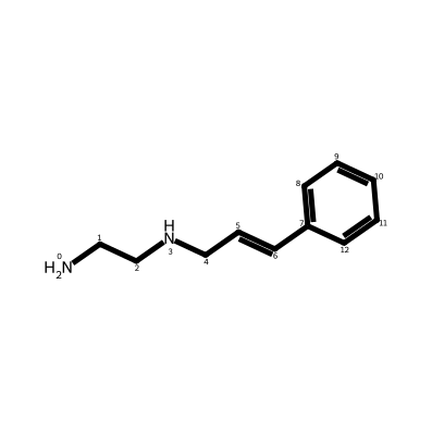 NCCNC/C=C/c1ccccc1